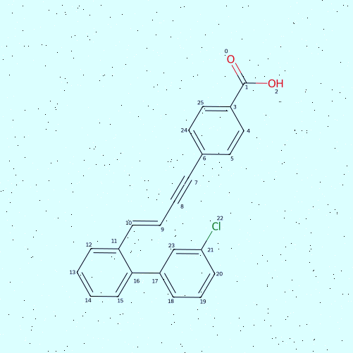 O=C(O)c1ccc(C#C/C=C/c2ccccc2-c2cccc(Cl)c2)cc1